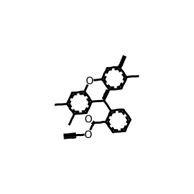 C#COC(=O)c1ccccc1C1=c2cc(C)c(=C)cc2Oc2cc(C)c(C)cc21